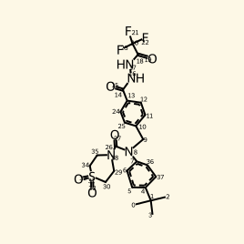 CC(C)(C)c1ccc(N(Cc2ccc(C(=O)NNC(=O)C(F)(F)F)cc2)C(=O)N2CCS(=O)(=O)CC2)cc1